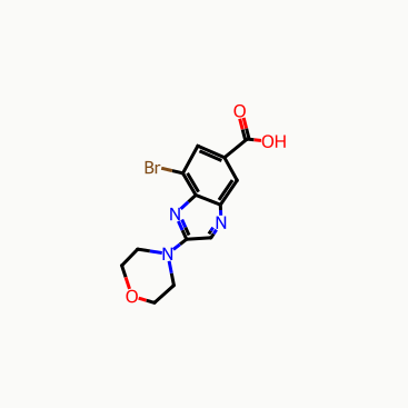 O=C(O)c1cc(Br)c2nc(N3CCOCC3)cnc2c1